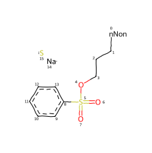 CCCCCCCCCCCCOS(=O)(=O)c1ccccc1.[Na].[S]